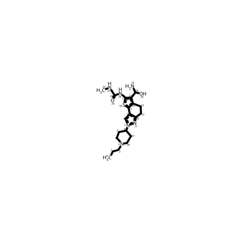 CCCN1CCC(n2cc3c(n2)CCc2c-3sc(NC(=O)NC)c2C(N)O)CC1